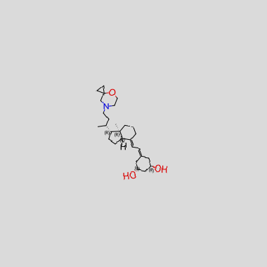 CC(CCN1CCOC2(CC2)C1)[C@H]1CC[C@H]2C(=CC=C3C[C@@H](O)C[C@H](O)C3)CCC[C@]12C